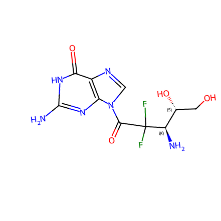 Nc1nc2c(ncn2C(=O)C(F)(F)[C@H](N)[C@H](O)CO)c(=O)[nH]1